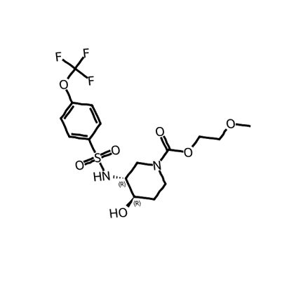 COCCOC(=O)N1CC[C@@H](O)[C@H](NS(=O)(=O)c2ccc(OC(F)(F)F)cc2)C1